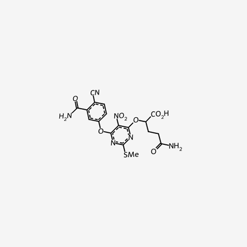 CSc1nc(Oc2ccc(C#N)c(C(N)=O)c2)c([N+](=O)[O-])c(OC(CCC(N)=O)C(=O)O)n1